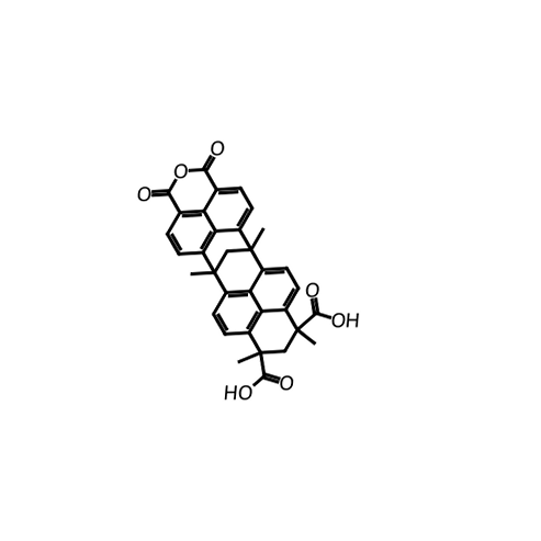 CC1(C(=O)O)CC(C)(C(=O)O)c2ccc3c4c(ccc1c24)C1(C)CC3(C)c2ccc3c4c(ccc1c24)C(=O)OC3=O